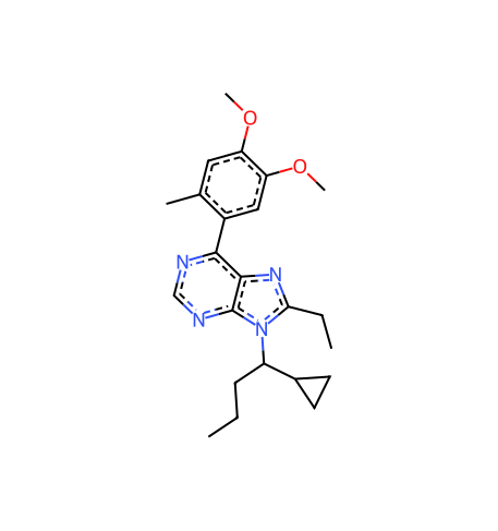 CCCC(C1CC1)n1c(CC)nc2c(-c3cc(OC)c(OC)cc3C)ncnc21